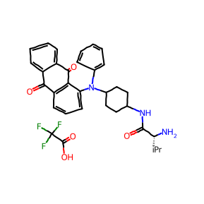 CC(C)[C@@H](N)C(=O)NC1CCC(N(c2ccccc2)c2cccc3c2C(=O)c2ccccc2C3=O)CC1.O=C(O)C(F)(F)F